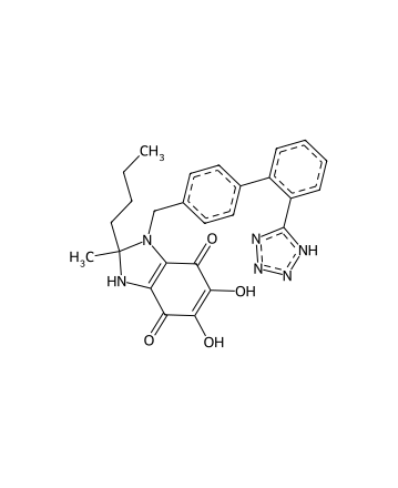 CCCCC1(C)NC2=C(C(=O)C(O)=C(O)C2=O)N1Cc1ccc(-c2ccccc2-c2nnn[nH]2)cc1